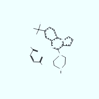 CN1CCN(c2nc3cc(C(F)(F)F)ccc3n3cccc23)CC1.O=C(O)/C=C\C(=O)O